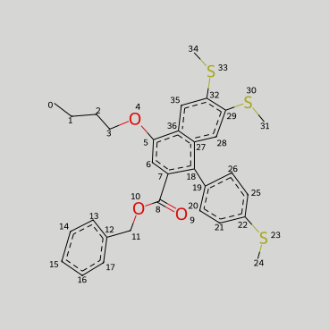 CCCCOc1cc(C(=O)OCc2ccccc2)c(-c2ccc(SC)cc2)c2cc(SC)c(SC)cc12